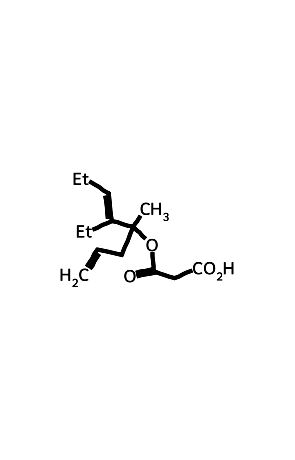 C=CCC(C)(OC(=O)CC(=O)O)C(=CCC)CC